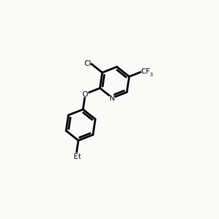 CCc1ccc(Oc2ncc(C(F)(F)F)cc2Cl)cc1